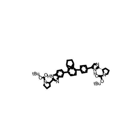 CC(C)(C)OC(=O)N1CCCC1c1nc2cc(-c3ccc(-c4ccc(-c5cnc([C@@H]6CCCN6C(=O)OC(C)(C)C)[nH]5)cc4)c4c3C3CCC4C3)ccc2[nH]1